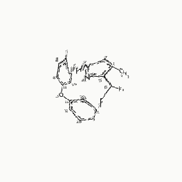 Cc1c[nH]nc1C(F)F.c1ccc(Oc2ccccc2)cc1